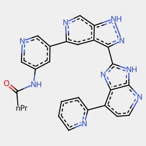 CCCC(=O)Nc1cncc(-c2cc3c(-c4nc5c(-c6ccccn6)ccnc5[nH]4)n[nH]c3cn2)c1